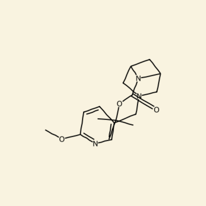 COc1ccc(CN2CC3CC(C2)N3C(=O)OC(C)(C)C)cn1